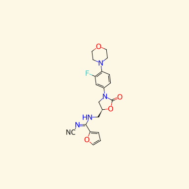 N#C/N=C(/NC[C@H]1CN(c2ccc(N3CCOCC3)c(F)c2)C(=O)O1)c1ccco1